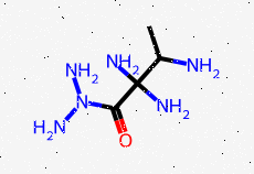 CC(N)C(N)(N)C(=O)N(N)N